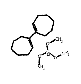 C1=C(C2=CCCCCC2)CCCCC1.CO[SiH](OC)OC